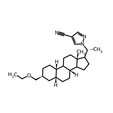 CCOC[C@H]1CC[C@@H]2C3CC[C@@]4(C)C(CCC4[C@@H](C)n4cc(C#N)cn4)[C@@H]3CC[C@@H]2C1